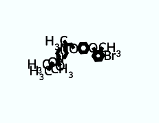 Cc1c(Br)cccc1OC1CCC(OCC(C)N2CCN(C(=O)OC(C)(C)C)CC2)CC1